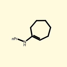 CCCNC1=CCCCCC1